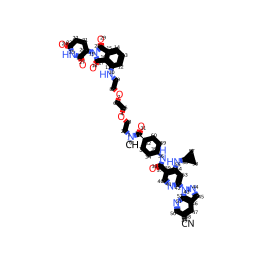 CN(CCOCCOCCNc1cccc2c1C(=O)N(C1CCC(=O)NC1=O)C2=O)C(=O)[C@H]1CC[C@H](NC(=O)c2cnc(-n3ncc4cc(C#N)cnc43)cc2NC2CC2)CC1